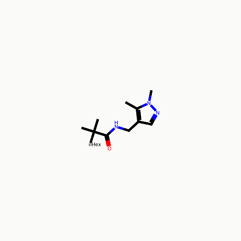 CCCCCCC(C)(C)C(=O)NCc1cnn(C)c1C